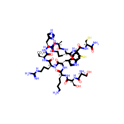 C[C@H](NC(=O)[C@H](Cc1c[nH]cn1)NC(=O)[C@H](CC(=O)O)NC(=O)[C@H](CCCNC(=N)N)NC(=O)[C@H](Cc1c[nH]c2ccccc12)NC(=O)[C@H](CCCCN)NC(=O)[C@H](CO)NC(=O)[C@@H](N)CO)C(=O)N[C@@H](CCCNC(=N)N)C(=O)N[C@@H](CS)C(=O)N[C@@H](CS)C(N)=O